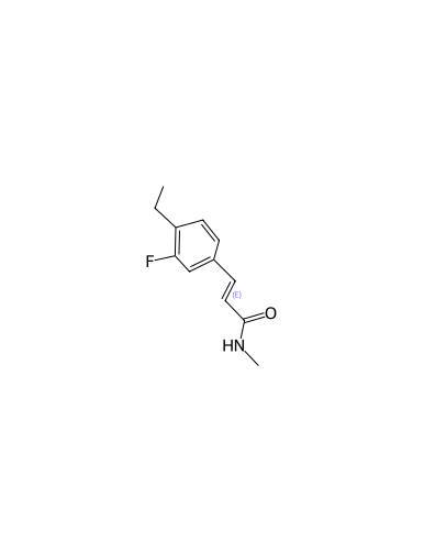 CCc1ccc(/C=C/C(=O)NC)cc1F